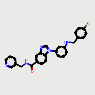 O=C(NCc1cccnc1)c1ccc2c(c1)ncn2-c1cccc(NCc2ccc(Br)cc2)c1